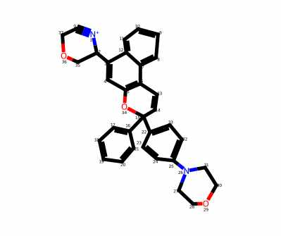 C1#[N+]C(c2cc3c(c4ccccc24)C=CC(c2ccccc2)(c2ccc(N4CCOCC4)cc2)O3)COC1